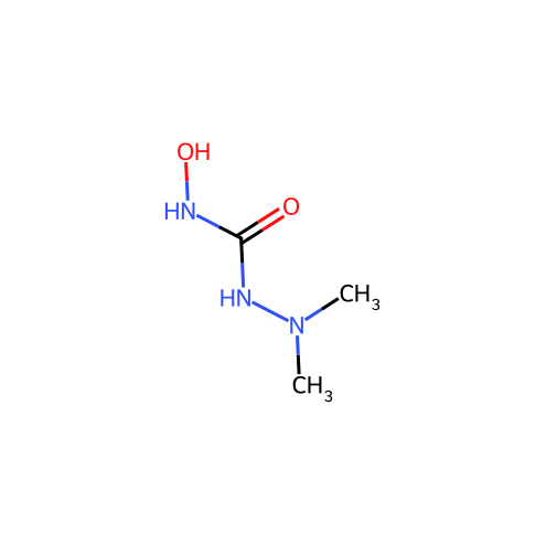 CN(C)NC(=O)NO